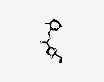 C=Cc1nc(C(=O)NCc2ccccc2C)co1